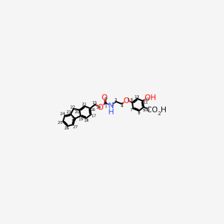 O=C(NCCOc1ccc(C(=O)O)c(O)c1)OCc1ccc2c(c1)Cc1ccccc1-2